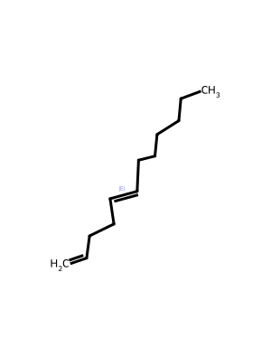 C=CCC/C=C/CCCCCC